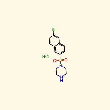 Cl.O=S(=O)(c1ccc2cc(Br)ccc2c1)N1CCNCC1